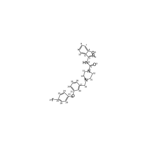 O=C(Nc1noc2ccccc12)N1CCN(Cc2cccc(Oc3ccc(F)cc3)c2)CC1